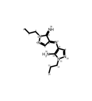 CCCN1N=C/C(=N\c2cnn(CCC)c2N)C1=N